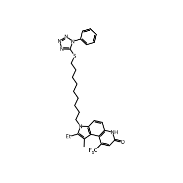 CCc1c(C)c2c3c(C(F)(F)F)cc(=O)[nH]c3ccc2n1CCCCCCCCCSc1nnnn1-c1ccccc1